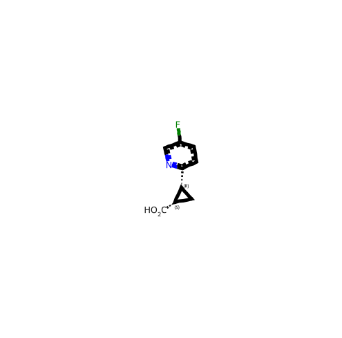 O=C(O)[C@H]1C[C@H]1c1ccc(F)cn1